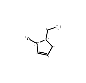 [O-][S+]1C=CCN1CO